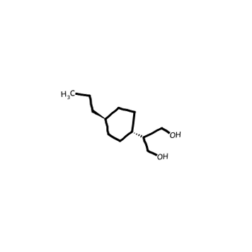 CCC[C@H]1CC[C@H](C(CO)CO)CC1